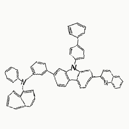 c1ccc(-c2ccc(-n3c4cc(-c5cccc(N(c6ccccc6)c6cccc7ccccc67)c5)ccc4c4ccc(-c5ccc6ccccc6n5)cc43)cc2)cc1